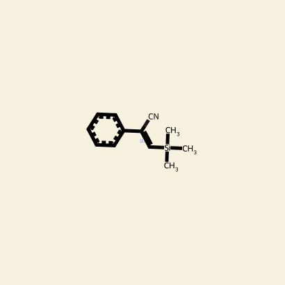 C[Si](C)(C)/C=C(\C#N)c1ccccc1